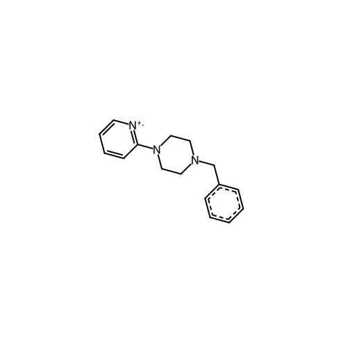 C1=C[N+]=C(N2CCN(Cc3ccccc3)CC2)C=C1